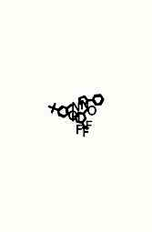 COc1ccc(C(C)(C)C)cc1CNC1CCC(c2ccccc2)N1C(=O)C1CCCC(C(F)(F)F)C1